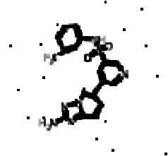 Nc1nc2ccc(-c3cncc(S(=O)(=O)Nc4cccc(C(F)(F)F)c4)c3)cn2n1